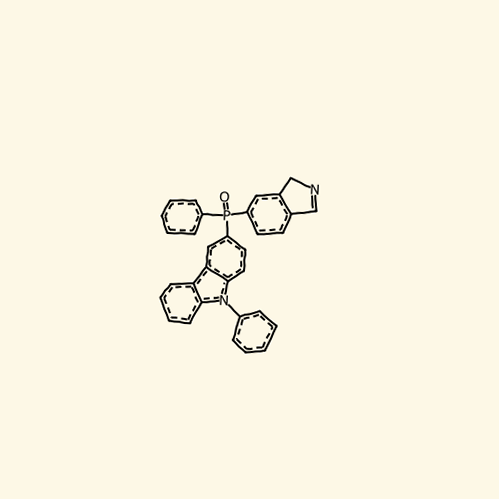 O=P(c1ccccc1)(c1ccc2c(c1)CN=C2)c1ccc2c(c1)c1ccccc1n2-c1ccccc1